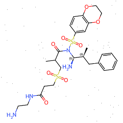 CC(CS(=O)(=O)CCC(=O)NCCN)C(=O)N([C@H](N)[C@@H](C)Cc1ccccc1)S(=O)(=O)c1ccc2c(c1)OCCO2